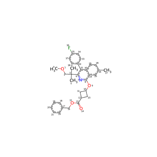 COCC(C)(C)c1nc(OC2CC(C(=O)OCc3ccccc3)C2)c2cc(C)ccc2c1-c1ccc(F)cc1